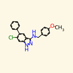 COc1ccc(CNc2n[nH]c3cc(Cl)c(-c4ccccc4)cc23)cc1